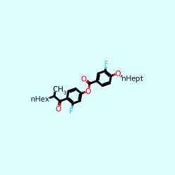 CCCCCCCOc1ccc(C(=O)Oc2ccc(C(=O)C(C)CCCCCC)c(F)c2)cc1F